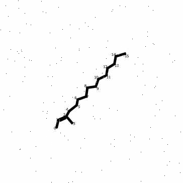 C/C=C(\C)CCCCCCCCCCCC